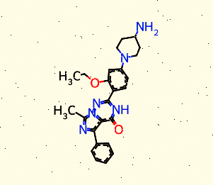 CCOc1cc(N2CCC(N)CC2)ccc1-c1nn2c(C)nc(-c3ccccc3)c2c(=O)[nH]1